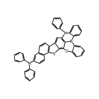 c1ccc(N(c2ccccc2)c2ccc3c(ccc4c5cc6c7c(c5sc34)Oc3ccccc3B7c3ccccc3N6c3ccccc3)c2)cc1